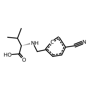 CC(C)[C@H](NCc1ccc(C#N)cc1)C(=O)O